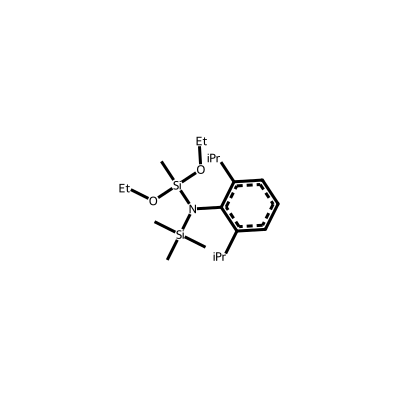 CCO[Si](C)(OCC)N(c1c(C(C)C)cccc1C(C)C)[Si](C)(C)C